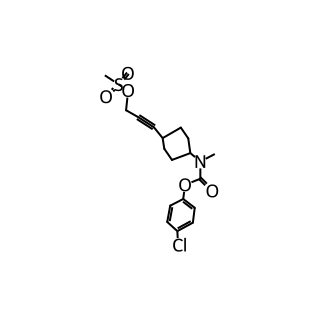 CN(C(=O)Oc1ccc(Cl)cc1)C1CCC(C#CCOS(C)(=O)=O)CC1